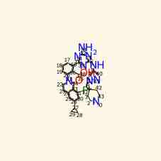 CN1CCC(Cn2cc(Nc3nc(N)nc(-c4cccc(-n5ccc6cc(C7CC7)cc(F)c6c5=O)c4CO)n3)cn2)CC1